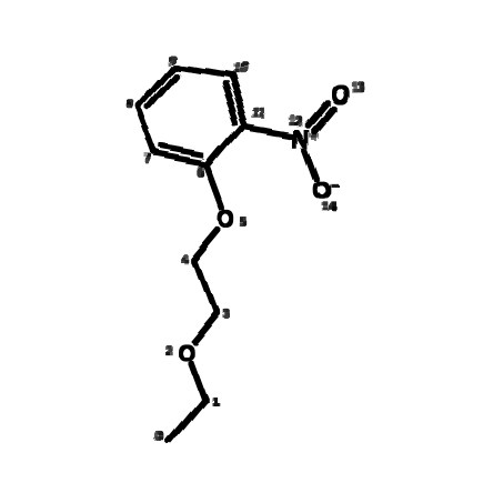 CCOCCOc1ccccc1[N+](=O)[O-]